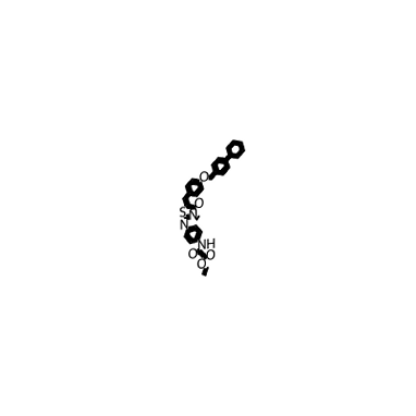 CCOC(=O)C(=O)Nc1ccc(N=C2SC(=Cc3ccc(OCc4ccc(C5CCCCC5)cc4)cc3)C(=O)N2C)cc1